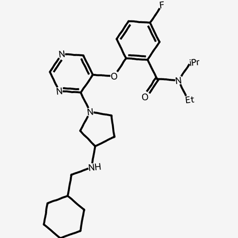 CCN(C(=O)c1cc(F)ccc1Oc1cncnc1N1CCC(NCC2CCCCC2)C1)C(C)C